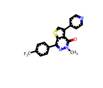 Cn1nc(-c2ccc(C(F)(F)F)cc2)c2scc(-c3ccncc3)c2c1=O